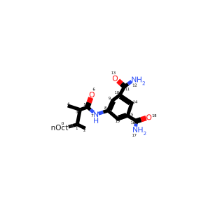 CCCCCCCCC(C)C(C)C(=O)Nc1cc(C(N)=O)cc(C(N)=O)c1